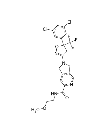 COCCNC(=O)c1cc2c(cn1)CN(C1=NOC(c3cc(Cl)cc(Cl)c3)(C(F)(F)F)C1)C2